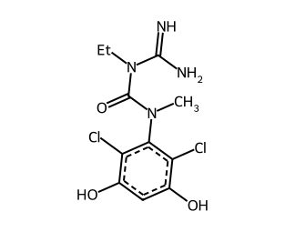 CCN(C(=N)N)C(=O)N(C)c1c(Cl)c(O)cc(O)c1Cl